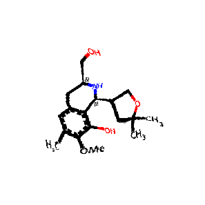 COc1c(C)cc2c(c1O)[C@H](C1COC(C)(C)C1)N[C@H](CO)C2